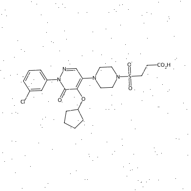 O=C(O)CCS(=O)(=O)N1CCN(c2cnn(-c3cccc(Cl)c3)c(=O)c2OC2CCCC2)CC1